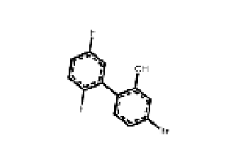 Oc1cc(Br)ccc1-c1cc(F)ccc1F